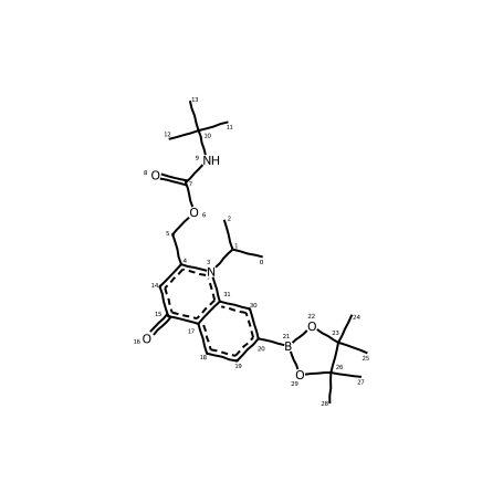 CC(C)n1c(COC(=O)NC(C)(C)C)cc(=O)c2ccc(B3OC(C)(C)C(C)(C)O3)cc21